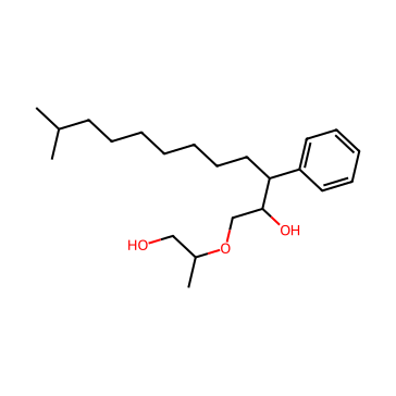 CC(C)CCCCCCCC(c1ccccc1)C(O)COC(C)CO